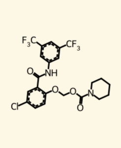 O=C(Nc1cc(C(F)(F)F)cc(C(F)(F)F)c1)c1cc(Cl)ccc1OCOC(=O)N1CCCCC1